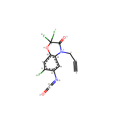 C#CCN1C(=O)C(F)(F)Oc2cc(F)c(N=C=O)cc21